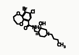 CCCCN1CC[C@@H](CNC(=O)c2cc(Cl)c(Br)c3c2OCCCO3)[C@H](O)C1